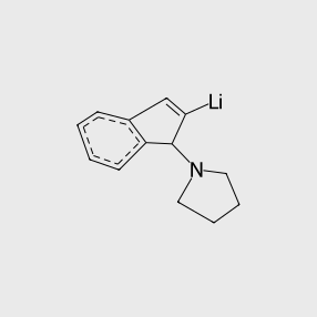 [Li][C]1=Cc2ccccc2C1N1CCCC1